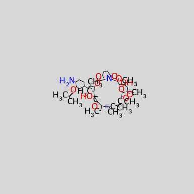 CCC1/C=C(\C)CC(C)CC(OC)C2OC(O)(C(=O)C(=O)N3CCCCC3C(=O)OC(C(C)=CC3CCC(N)C(OC=C(C)C)C3)C(C)C(O)CC1=O)C(C)CC2OC